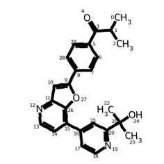 CC(C)C(=O)c1ccc(-c2cc3nccc(-c4ccnc(C(C)(C)O)c4)c3o2)cc1